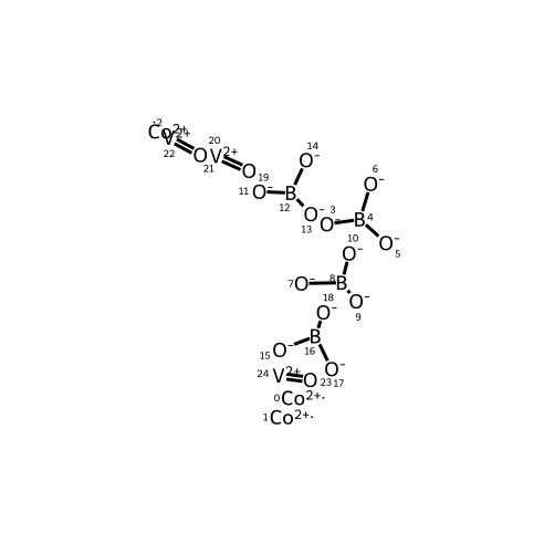 [Co+2].[Co+2].[Co+2].[O-]B([O-])[O-].[O-]B([O-])[O-].[O-]B([O-])[O-].[O-]B([O-])[O-].[O]=[V+2].[O]=[V+2].[O]=[V+2]